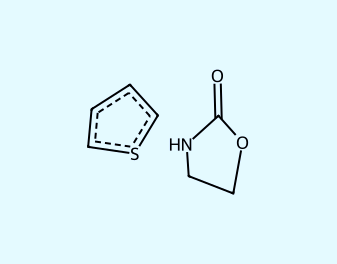 O=C1NCCO1.c1ccsc1